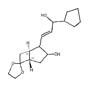 OC(C=CC1C(O)C[C@H]2[C@H]1CC21OCCO1)C1CCCC1